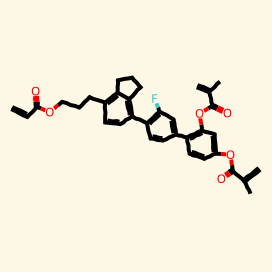 C=CC(=O)OCCCc1ccc(-c2ccc(-c3ccc(OC(=O)C(=C)C)cc3OC(=O)C(=C)C)cc2F)c2c1CCC2